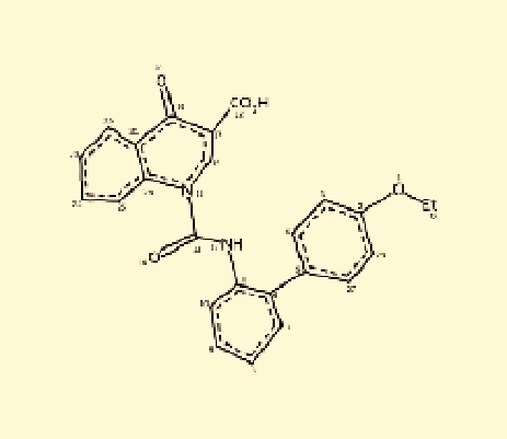 CCOc1ccc(-c2ccccc2NC(=O)n2cc(C(=O)O)c(=O)c3ccccc32)cc1